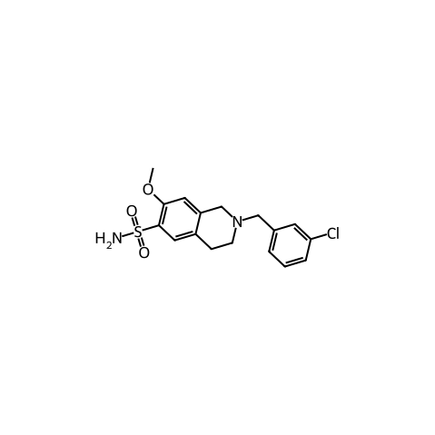 COc1cc2c(cc1S(N)(=O)=O)CCN(Cc1cccc(Cl)c1)C2